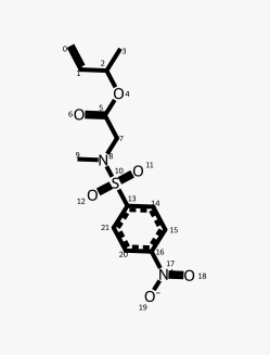 C=CC(C)OC(=O)CN(C)S(=O)(=O)c1ccc([N+](=O)[O-])cc1